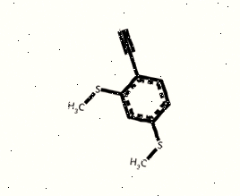 [C]#Cc1ccc(SC)cc1SC